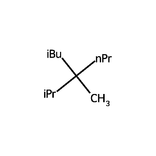 CCCC(C)(C(C)C)C(C)CC